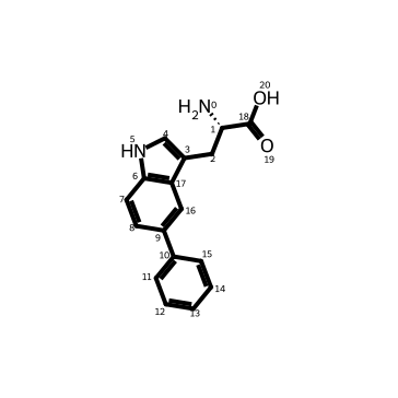 N[C@@H](Cc1c[nH]c2ccc(-c3ccccc3)cc12)C(=O)O